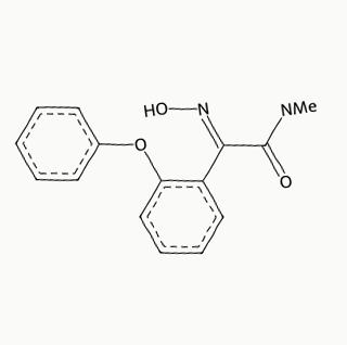 CNC(=O)/C(=N/O)c1ccccc1Oc1ccccc1